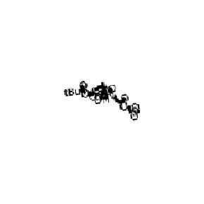 CC(C)(C)C(=O)OCO[PH]1(O)OCC(C)(C)[C@H](C(=O)NCCC(=O)OCCS(C)(=O)=O)O1